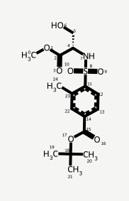 COC(=O)[C@H](CO)NS(=O)(=O)c1ccc(C(=O)OC(C)(C)C)cc1C